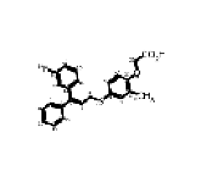 Cc1cc(SC/C=C(/c2ccccc2)c2cccc(F)c2)ccc1OCC(=O)O